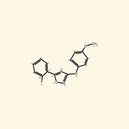 COc1ccc(Oc2noc(-c3ccccc3F)n2)cc1